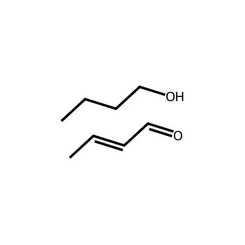 CC=CC=O.CCCCO